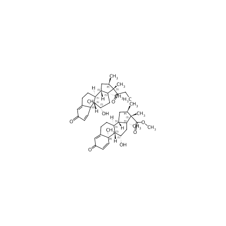 CCC(=O)[C@@]1(C)[C@H](C)C[C@H]2[C@@H]3CCC4=CC(=O)C=C[C@]4(C)[C@H]3[C@@H](O)C[C@@]21C.COC(=O)[C@@]1(C)[C@H](C)C[C@H]2[C@@H]3CCC4=CC(=O)C=C[C@]4(C)[C@H]3[C@@H](O)C[C@@]21C